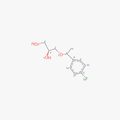 CC(OC[C@@H](O)CO)c1ccc(F)cc1